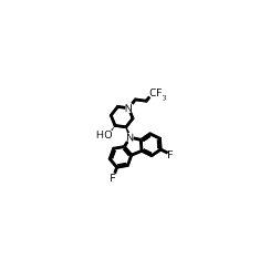 O[C@@H]1CCN(CCC(F)(F)F)C[C@H]1n1c2ccc(F)cc2c2cc(F)ccc21